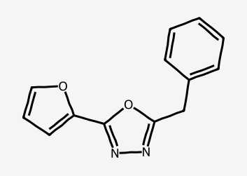 c1ccc(Cc2nnc(-c3ccco3)o2)cc1